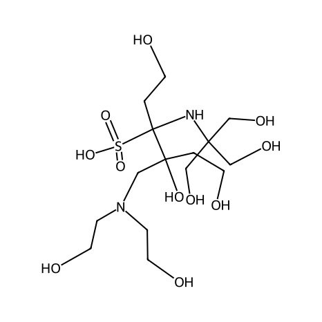 O=S(=O)(O)C(CCO)(NC(CO)(CO)CO)C(O)(CCO)CN(CCO)CCO